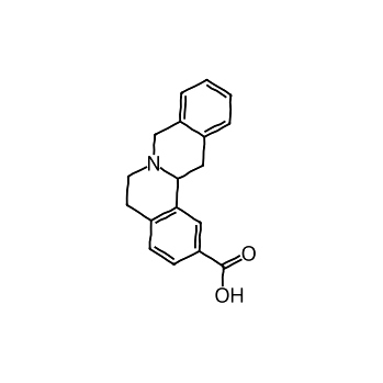 O=C(O)c1ccc2c(c1)C1Cc3ccccc3CN1CC2